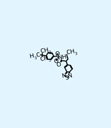 CCCC(C(=O)NS(=O)(=O)c1ccc(C(C)(C)C)cc1)c1ccc2nsnc2c1